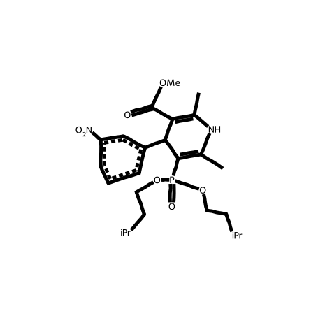 COC(=O)C1=C(C)NC(C)=C(P(=O)(OCCC(C)C)OCCC(C)C)C1c1cccc([N+](=O)[O-])c1